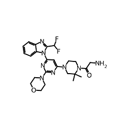 CC1(C)CN(c2cc(-n3c(C(F)F)nc4ccccc43)nc(N3CCOCC3)n2)CCN1C(=O)CN